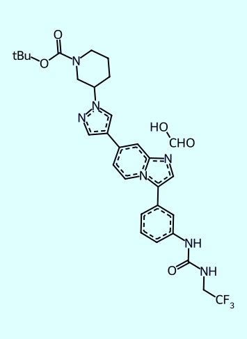 CC(C)(C)OC(=O)N1CCCC(n2cc(-c3ccn4c(-c5cccc(NC(=O)NCC(F)(F)F)c5)cnc4c3)cn2)C1.O=CO